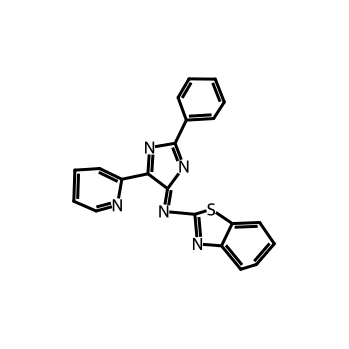 c1ccc(C2=NC(=Nc3nc4ccccc4s3)C(c3ccccn3)=N2)cc1